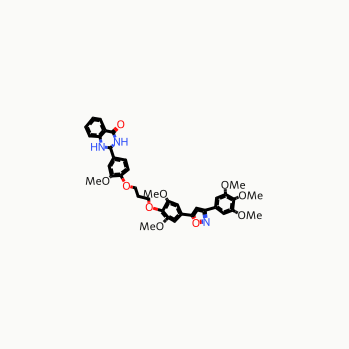 COc1cc(C2NC(=O)c3ccccc3N2)ccc1OCCCOc1c(OC)cc(-c2cc(-c3cc(OC)c(OC)c(OC)c3)no2)cc1OC